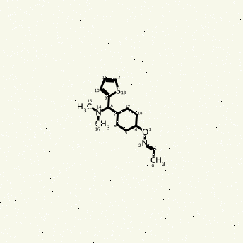 CC=NOC1CCC(C(c2cccs2)N(C)C)CC1